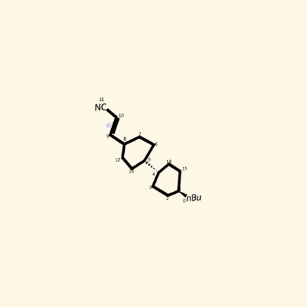 CCCC[C@H]1CC[C@H](C2CCC(/C=C/C#N)CC2)CC1